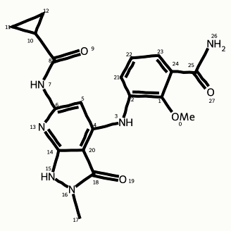 COc1c(Nc2cc(NC(=O)C3CC3)nc3[nH]n(C)c(=O)c23)cccc1C(N)=O